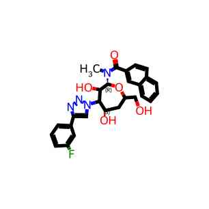 CN(C(=O)c1ccc2ccccc2c1)[C@@H]1OC(CO)C[C@H](O)C(n2cc(-c3cccc(F)c3)nn2)C1O